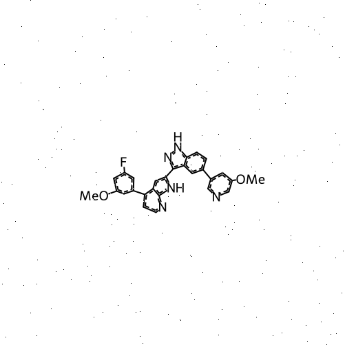 COc1cncc(-c2ccc3[nH]nc(-c4cc5c(-c6cc(F)cc(OC)c6)ccnc5[nH]4)c3c2)c1